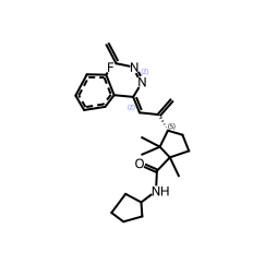 C=C/N=N\C(=C/C(=C)[C@@H]1CCC(C)(C(=O)NC2CCCC2)C1(C)C)c1ccccc1F